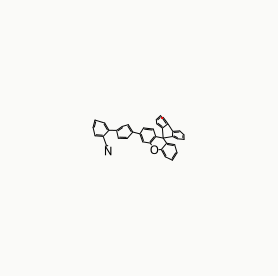 N#Cc1ccccc1-c1ccc(-c2ccc3c(c2)Oc2ccccc2C32c3ccccc3-c3ccccc32)cc1